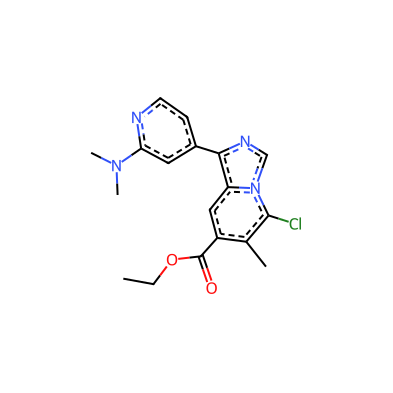 CCOC(=O)c1cc2c(-c3ccnc(N(C)C)c3)ncn2c(Cl)c1C